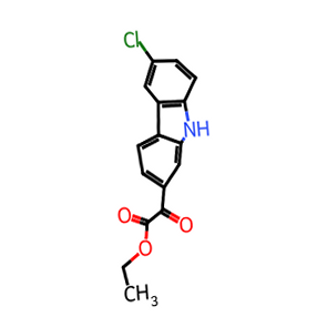 CCOC(=O)C(=O)c1ccc2c(c1)[nH]c1ccc(Cl)cc12